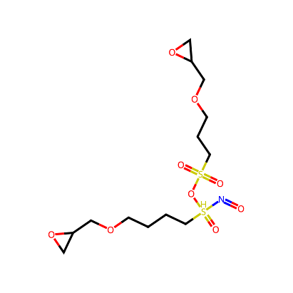 O=N[SH](=O)(CCCCOCC1CO1)OS(=O)(=O)CCCOCC1CO1